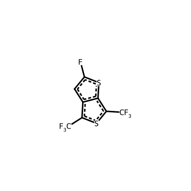 Fc1cc2c(C(F)(F)F)sc(C(F)(F)F)c2s1